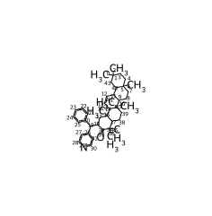 CC1(C)CC[C@]2(C)CC[C@]3(C)C(C=CC4[C@@]5(C)CC(C(c6ccccc6)c6ccncc6)C(=O)C(C)(C)C5CC[C@]43C)C2C1